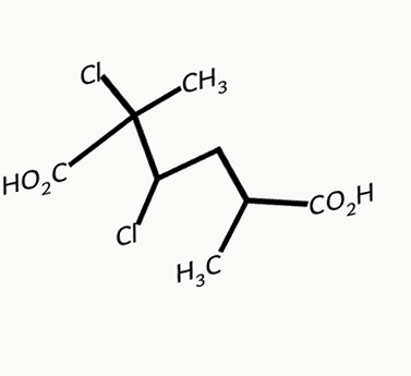 CC(CC(Cl)C(C)(Cl)C(=O)O)C(=O)O